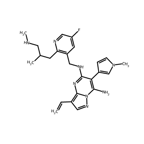 C=Cc1cnn2c(N)c(-c3ccn(C)c3)c(NCc3cc(F)cnc3CC(C)CNC)nc12